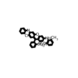 Cc1ccccc1/N=c1\ccc2c(-c3ccccc3S(=O)(=O)O)c3ccc(Nc4c(C)cccc4C)cc3oc-2c1